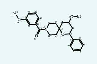 CCOC1CC(c2ccccc2)OC2(CCN(C(=O)c3cccc(OC(C)C)c3)CC2)C1